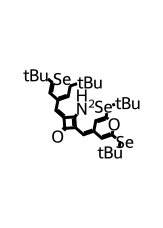 CC(C)(C)[Se]C1=CC(=CC2=C(N)C(=CC3=CC(C(C)(C)C)[Se]C(C(C)(C)C)=C3)C2=O)C=C([Se]C(C)(C)C)O1